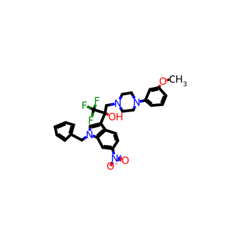 COc1cccc(N2CCN(CC(O)(c3cn(Cc4ccccc4)c4cc([N+](=O)[O-])ccc34)C(F)(F)F)CC2)c1